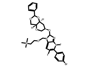 C[Si](C)(C)CCOCN1C2=CC(F)=C(c3ccc(Br)cc3)N(F)C2=NC1O[C@H]1CO[C@@H]2COC(c3ccccc3)O[C@H]2C1